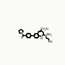 CCOC(=O)C1=Cc2cc(-c3ccc(C(=O)N4CCCC4)cc3)ccc2NC(N(N)CCN=O)C1